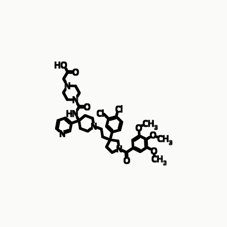 COc1cc(C(=O)N2CCC(CCN3CCC(NC(=O)N4CCN(CC(=O)O)CC4)(c4cccnc4)CC3)(c3ccc(Cl)c(Cl)c3)C2)cc(OC)c1OC